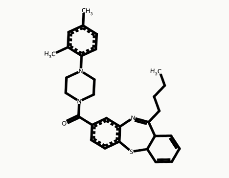 CCCCC1=Nc2cc(C(=O)N3CCN(c4ccc(C)cc4C)CC3)ccc2SC2C=CC=CC12